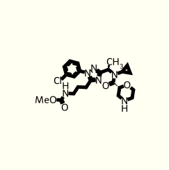 COC(=O)NCCCc1nc([C@@H](C)N(C(=O)[C@H]2CNCCO2)C2CC2)nn1-c1cccc(Cl)c1